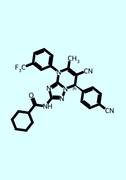 CC1=C(C#N)[C@@H](c2ccc(C#N)cc2)n2nc(NC(=O)C3CCCCC3)nc2N1c1cccc(C(F)(F)F)c1